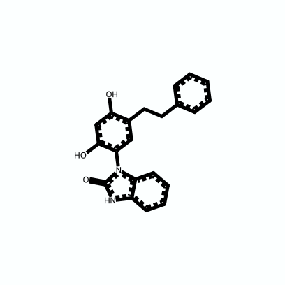 O=c1[nH]c2ccccc2n1-c1cc(CCc2ccccc2)c(O)cc1O